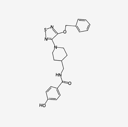 O=C(NCC1CCN(c2nsnc2OCc2ccccc2)CC1)c1ccc(O)cc1